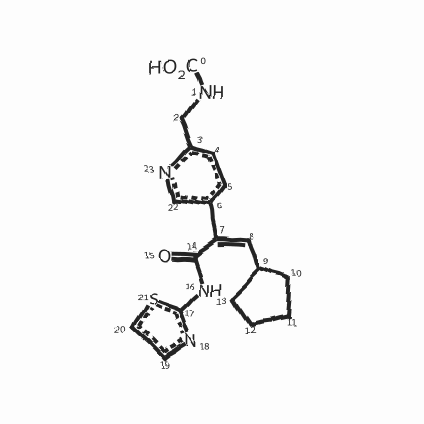 O=C(O)NCc1ccc(/C(=C/C2CCCC2)C(=O)Nc2nccs2)cn1